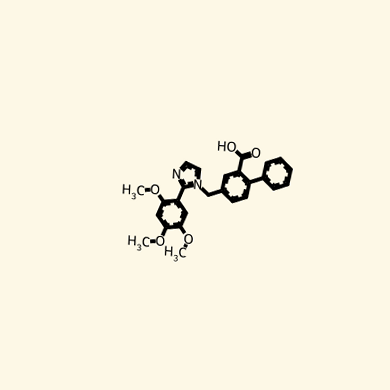 COc1cc(OC)c(-c2nccn2Cc2ccc(-c3ccccc3)c(C(=O)O)c2)cc1OC